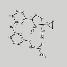 CC(=O)NCc1ccnc(Nc2cc(N3CC[C@@](C#N)(C4CC4)C3=O)ccn2)c1